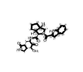 O=C1NCC[C@H]1C[C@@H](NC(=O)[C@H]1[C@@H]2CCC[C@@H]2CN1C(=O)c1cc2ccccc2[nH]1)C(=O)CO